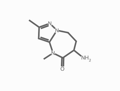 Cc1cc2n(n1)CCC(N)C(=O)N2C